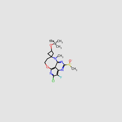 CN1c2nc([S+](C)[O-])nc3c(F)c(Cl)nc(c23)OCCC12CC(O[Si](C)(C)C(C)(C)C)C2